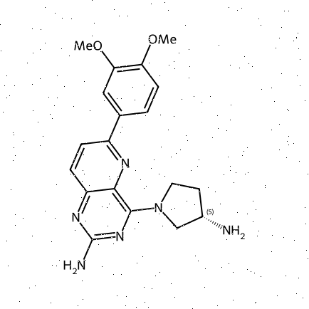 COc1ccc(-c2ccc3nc(N)nc(N4CC[C@H](N)C4)c3n2)cc1OC